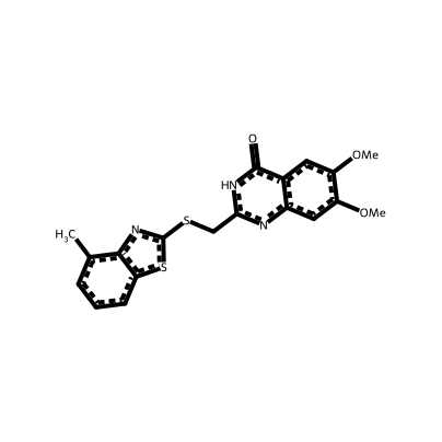 COc1cc2nc(CSc3nc4c(C)cccc4s3)[nH]c(=O)c2cc1OC